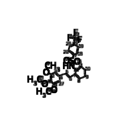 COc1cc(C=Cc2ccccc2NS(=O)(=O)c2ccc(C(F)(F)F)cc2)cc(OC)c1OC